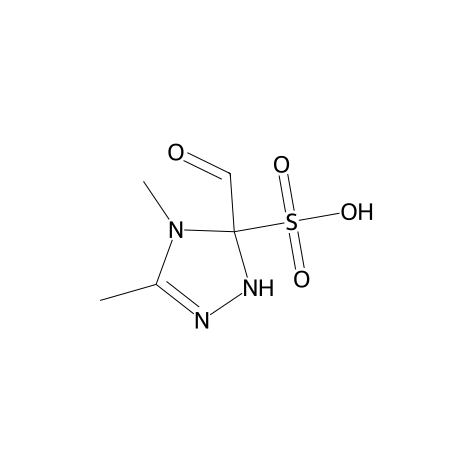 CC1=NNC(C=O)(S(=O)(=O)O)N1C